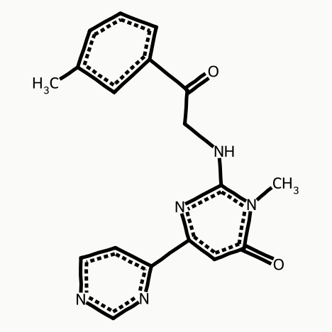 Cc1cccc(C(=O)CNc2nc(-c3ccncn3)cc(=O)n2C)c1